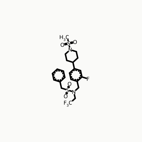 CS(=O)(=O)N1CCC(c2ccc(CN(CC(F)(F)F)S(=O)(=O)Cc3ccccc3)c(F)c2)CC1